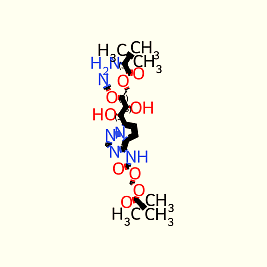 CC(C)(C)C(=O)OCOC(=O)Nc1ncnn2c([C@H](O)[C@H](O)[C@@H](COC(=O)[C@@H](N)C(C)(C)C)OC#N)ccc12